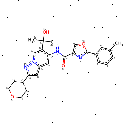 Cc1cccc(-c2nc(C(=O)Nc3cc4cc(C5CCOCC5)nn4cc3C(C)(C)O)co2)c1